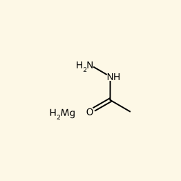 CC(=O)NN.[MgH2]